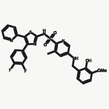 COc1cccc(CNc2cnc(S(=O)(=O)Nc3nc(-c4ccc(F)c(F)c4)c(-c4ccccn4)s3)c(C)c2)c1O